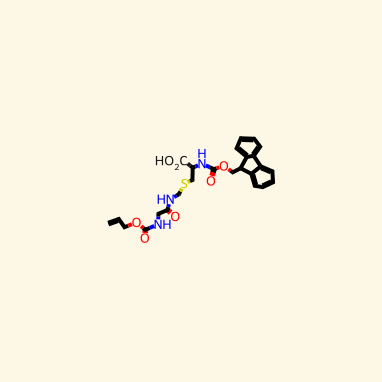 C=CCOC(=O)NCC(=O)NCSCC(NC(=O)OCC1c2ccccc2-c2ccccc21)C(=O)O